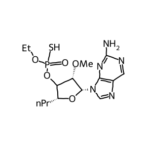 CCC[C@H]1O[C@@H](n2cnc3cnc(N)nc32)[C@@H](OC)C1OP(=O)(S)OCC